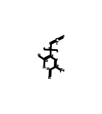 C=C=CC(C)(C)C(/C=C(/F)C=C)=C(C)C